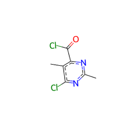 Cc1nc(Cl)c(C)c(C(=O)Cl)n1